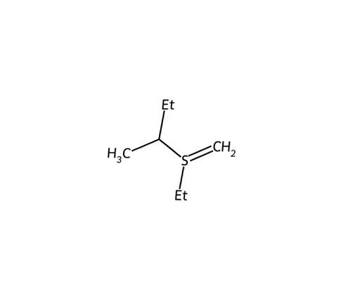 C=S(CC)C(C)CC